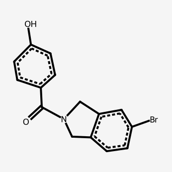 O=C(c1ccc(O)cc1)N1Cc2ccc(Br)cc2C1